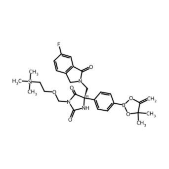 C=C1OB(c2ccc([C@]3(CN4Cc5ccc(F)cc5C4=O)NC(=O)N(COCC[Si](C)(C)C)C3=O)cc2)OC1(C)C